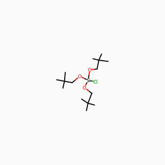 CC(C)(C)CO[Si](Cl)(OCC(C)(C)C)OCC(C)(C)C